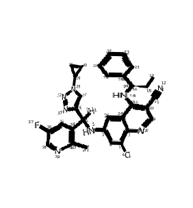 [2H]C(Nc1cc(Cl)c2ncc(C#N)c(N[C@H](CC)c3ccccc3)c2c1)(c1cn(C2CC2)nn1)c1cc(F)cnc1C